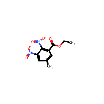 CCOC(=O)c1cc(C)cc([N+](=O)[O-])c1[N+](=O)[O-]